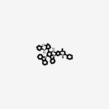 C=C1C=C(c2ccccc2)N(C)c2cc3c(cc21)Bc1c(-c2cccc4c2Nc2ccccc2O4)cc(-n2c4ccccc4c4ccccc42)c2c4ccccc4n-3c12